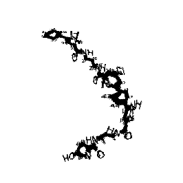 O=C(NCCCNC(=O)c1cc(-c2ccc(-c3cc(Cl)cc(C(=O)NCCCNC(=O)c4cc(-c5ccccc5)[nH]n4)n3)cc2)[nH]n1)c1ccc(O)cn1